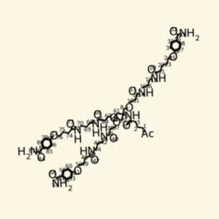 CC(=O)CCCC(=O)NC(COCCC(=O)NCCCNC(=O)CCCCOc1ccc(C(N)=O)cc1)(COCCC(=O)NCCCNC(=O)CCCOc1ccc(C(N)=O)cc1)COCCC(=O)NCCCNC(=O)CCCOc1ccc(C(N)=O)cc1